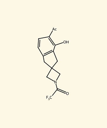 CC(=O)c1ccc2c(c1O)CC1(C2)CN(C(=O)C(F)(F)F)C1